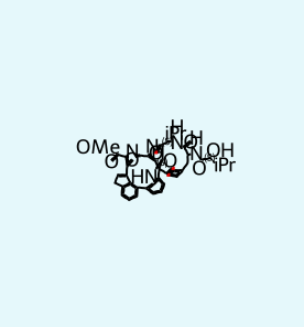 COC(=O)c1nc2oc1C1=CCc3cccc(c31)-c1cccc3c1N[C@H]1Oc4ccc5cc4C31c1oc(nc1-2)[C@H](C(C)C)NC(=O)C(NC(=O)[C@@H](O)C(C)C)C5